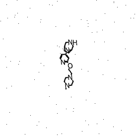 CN1CCN(CCOc2cc(N3C4CCC3CNC4)ccn2)CC1